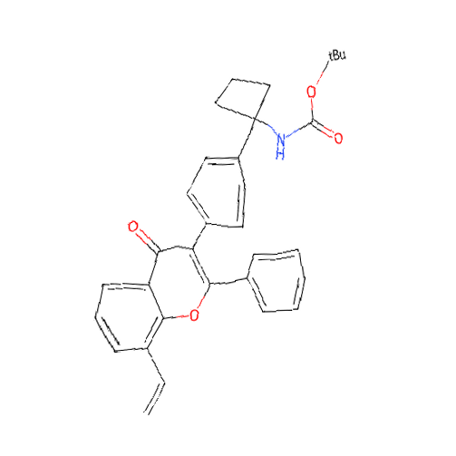 C=Cc1cccc2c(=O)c(-c3ccc(C4(NC(=O)OC(C)(C)C)CCC4)cc3)c(-c3ccccc3)oc12